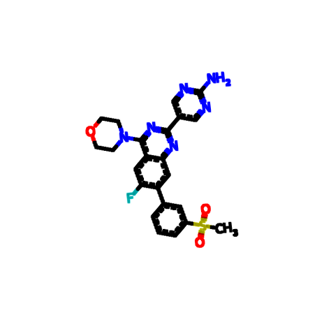 CS(=O)(=O)c1cccc(-c2cc3nc(-c4cnc(N)nc4)nc(N4CCOCC4)c3cc2F)c1